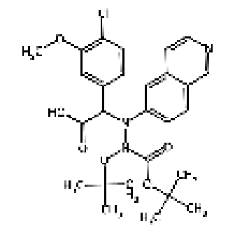 COc1cc(C(C(=O)O)N(c2ccc3cnccc3c2)N(OC(C)(C)C)C(=O)OC(C)(C)C)ccc1Cl